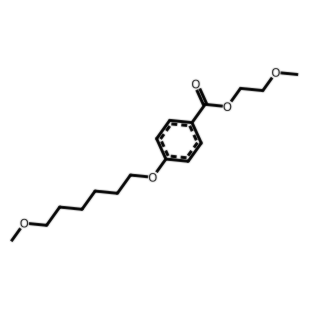 COCCCCCCOc1ccc(C(=O)OCCOC)cc1